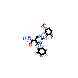 COc1ccc(C)c(Nc2ncc(C(N)=O)c(Nc3ccccc3)n2)c1